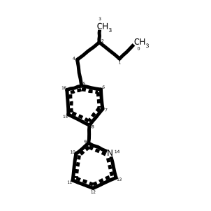 CCC(C)Cc1ccc(-c2ccccn2)cc1